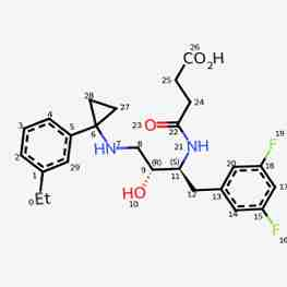 CCc1cccc(C2(NC[C@@H](O)[C@H](Cc3cc(F)cc(F)c3)NC(=O)CCC(=O)O)CC2)c1